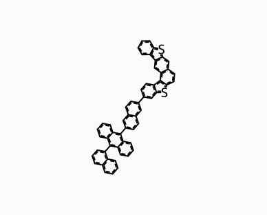 c1ccc2c(-c3c4ccccc4c(-c4ccc5cc(-c6ccc7c(c6)sc6ccc8cc9sc%10ccccc%10c9cc8c67)ccc5c4)c4ccccc34)cccc2c1